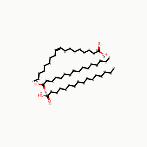 CCCCCCCC/C=C\CCCCCCCC(=O)O.CCCCCCCCCCCCCCCC(=O)O.CCCCCCCCCCCCCCCC(=O)O